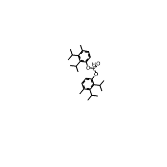 Cc1ccc(O[PH](=O)Oc2ccc(C)c(C(C)C)c2C(C)C)c(C(C)C)c1C(C)C